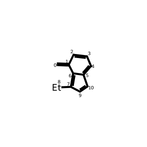 C=c1cccc2c1=C(CC)C=C2